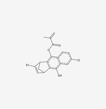 C=C(C)C(=O)Oc1c2c(c(O)c3cc(Cl)ccc13)C1C=C(CC)C2C1